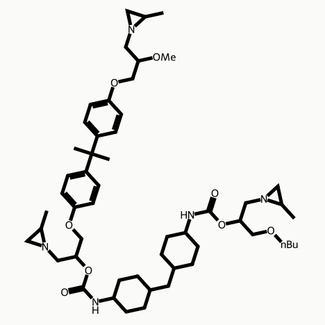 CCCCOCC(CN1CC1C)OC(=O)NC1CCC(CC2CCC(NC(=O)OC(COc3ccc(C(C)(C)c4ccc(OCC(CN5CC5C)OC)cc4)cc3)CN3CC3C)CC2)CC1